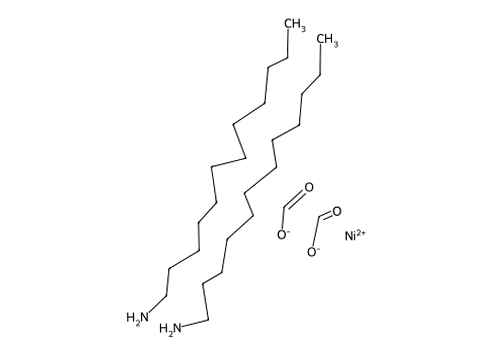 CCCCCCCCCCCCN.CCCCCCCCCCCCN.O=C[O-].O=C[O-].[Ni+2]